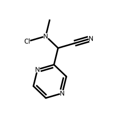 CN(Cl)C(C#N)c1cnccn1